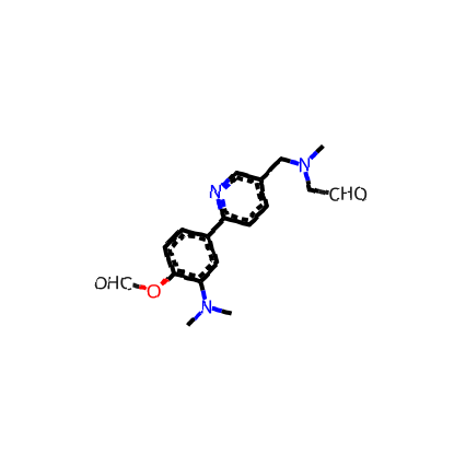 CN(CC=O)Cc1ccc(-c2ccc(OC=O)c(N(C)C)c2)nc1